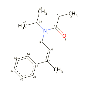 CCC(=O)N(C/C=C(/C)c1ccccc1)C(C)C